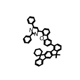 CC1(C)c2cc3c(cc2-c2c(-c4ccc5oc6c(-c7cc(-c8ccccc8)nc(-c8ccccc8)n7)cccc6c5c4)cccc21)C1(CCCCC1)c1ccccc1-3